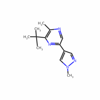 Cc1ncc(-c2cnn(C)c2)nc1C(C)(C)C